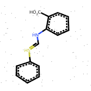 O=C(O)c1ccccc1NC=[SH]c1ccccc1